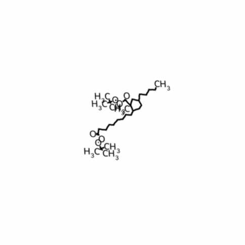 CCCCCC1CCC(CCCCCCCCC(=O)OOC(C)(C)C)C(C)(C(=O)OOC(C)(C)C)C1